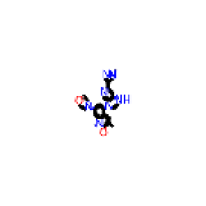 Cc1cc2c(N3CCNc4cc(-c5cnn(C)c5)ncc43)cc(N3CCOCC3)cc2n(C)c1=O